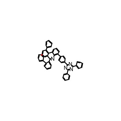 c1ccc(-c2nc(-c3ccccc3)nc(-c3ccc(-c4cccc5c4nc(-c4ccccc4-c4ccccc4)c4cccc(-c6ccccc6)c45)cc3)n2)cc1